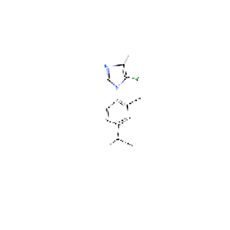 Cc1cc(C(C)C)ccc1-n1cnc(C)c1Cl